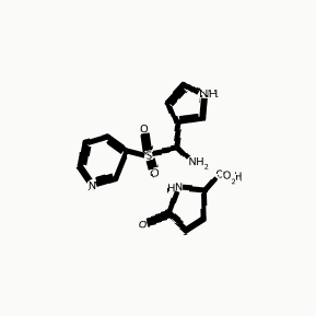 NC(c1cc[nH]c1)S(=O)(=O)c1cccnc1.O=C1CCC(C(=O)O)N1